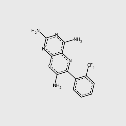 Nc1nc(N)c2nc(-c3ccccc3C(F)(F)F)c(N)nc2n1